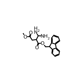 COC(=O)CC(C(=O)OCC1c2ccccc2-c2ccccc21)C(N)N